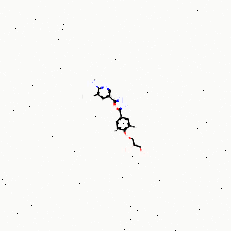 CCNc1ncc(-c2nnc(-c3cc(C)c(OC[C@@H](O)CO)c(CC)c3)o2)cc1C